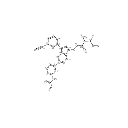 C=CC(=O)Nc1cncc(-c2cnc3c(c2)c(-c2cccc(C#N)c2)cn3COC(=O)C(N)C(C)CC)c1